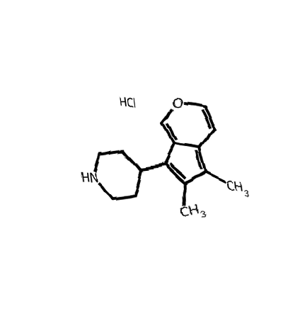 Cc1c2ccocc-2c(C2CCNCC2)c1C.Cl